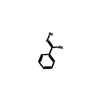 CC(=O)[C]=C(C(C)=O)c1ccccc1